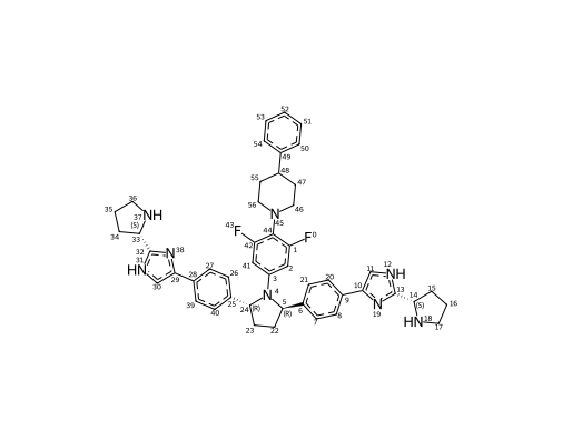 Fc1cc(N2[C@@H](c3ccc(-c4c[nH]c([C@@H]5CCCN5)n4)cc3)CC[C@@H]2c2ccc(-c3c[nH]c([C@@H]4CCCN4)n3)cc2)cc(F)c1N1CCC(c2ccccc2)CC1